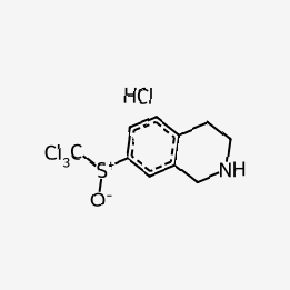 Cl.[O-][S+](c1ccc2c(c1)CNCC2)C(Cl)(Cl)Cl